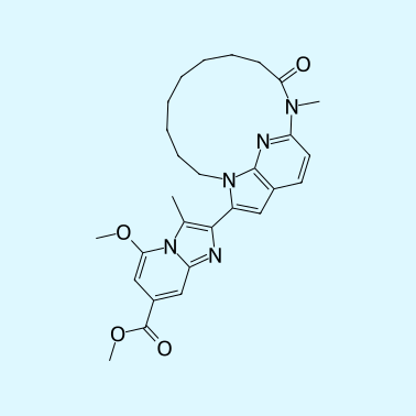 COC(=O)c1cc(OC)n2c(C)c(-c3cc4ccc5nc4n3CCCCCCCCC(=O)N5C)nc2c1